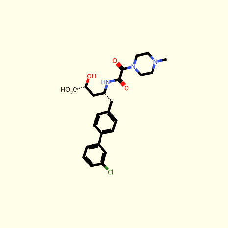 CN1CCN(C(=O)C(=O)N[C@H](Cc2ccc(-c3cccc(Cl)c3)cc2)C[C@@H](O)C(=O)O)CC1